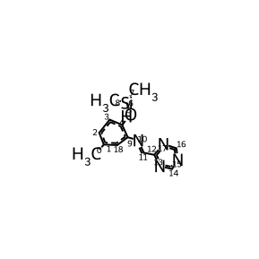 Cc1ccc(O[SiH](C)C)c(N=Cc2ncncn2)c1